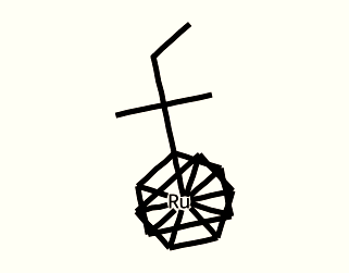 CCC(C)(C)[C]12[CH]3[CH]4[CH]5[CH]1[Ru]45321678[CH]2[CH]1[CH]6[CH]7[CH]28